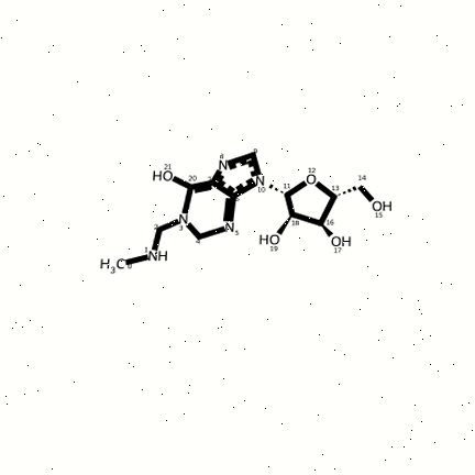 CNCN1CN=c2c(ncn2[C@@H]2O[C@H](CO)[C@@H](O)[C@H]2O)=C1O